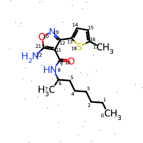 CCCCCCC(C)NC(=O)c1c(-c2ccc(C)s2)noc1N